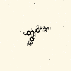 O=C(Nc1ccn(COP(=O)(O)O)c(=O)c1)c1ccc(CF)cc1Oc1ccc(OC(F)(F)F)cc1